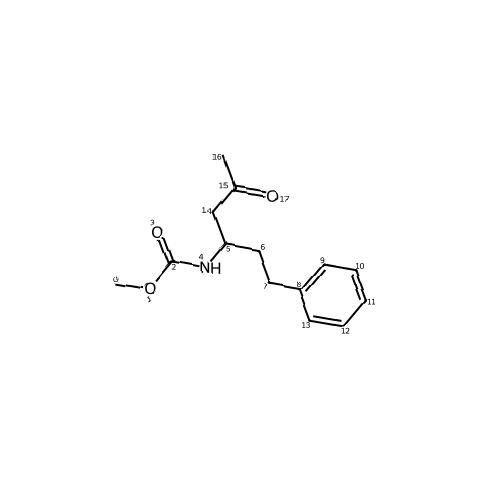 COC(=O)NC(CCc1ccccc1)CC(C)=O